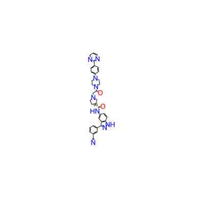 N#Cc1cccc(-c2n[nH]c3ccc(NC(=O)[C@@H]4CCN(CC(=O)N5CCN(c6ccc(-c7ncccn7)cc6)CC5)C4)cc23)c1